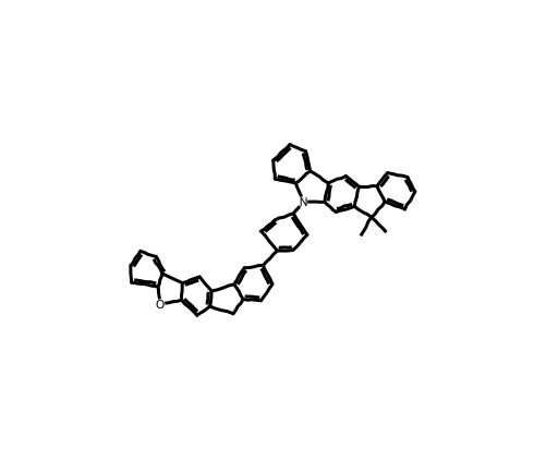 CC1(C)c2ccccc2-c2cc3c4ccccc4n(-c4ccc(-c5ccc6c(c5)-c5cc7c(cc5C6)oc5ccccc57)cc4)c3cc21